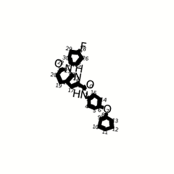 O=C(Nc1ccc(Oc2ccccc2)cc1)c1cc2ccc(=O)n(-c3ccc(F)cc3)c2[nH]1